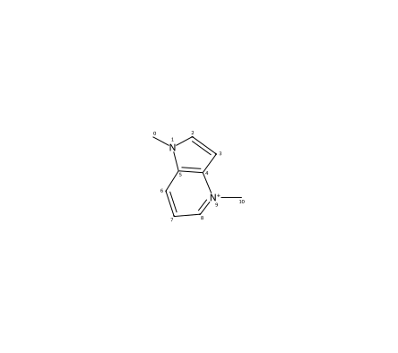 Cn1ccc2c1ccc[n+]2C